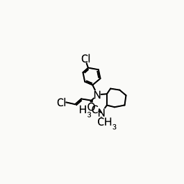 CN(C)C1CCCCCC1N(C(=O)C=CCl)c1ccc(Cl)cc1